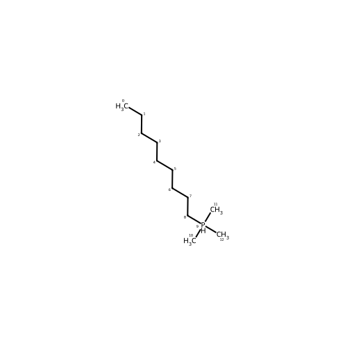 CCCCCCCCC[PH](C)(C)C